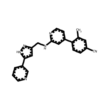 Cc1cc(C#N)ccc1-c1ccnc(NCc2cc(-c3cccnc3)[nH]n2)c1